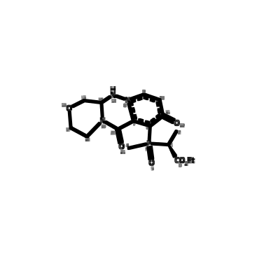 CCOC(=O)[C@H](C)P(C)(=O)c1c2n(ccc1=O)NC1COCCN1C2=O